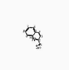 S=Cc1ccc2ccccc2n1